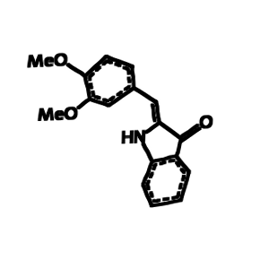 COc1ccc(/C=C2\Nc3ccccc3C2=O)cc1OC